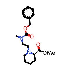 COC(=O)[C@@H]1CCCCN1CCN(C)C(=O)OCc1ccccc1